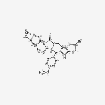 COc1ccc(C2c3[nH]c4ccc(Br)cc4c3CC3C(=O)N(c4ccc(OC)cc4C)C(=S)N32)cc1